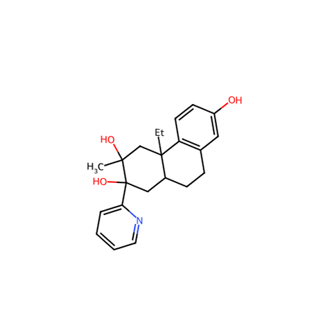 CCC12CC(C)(O)C(O)(c3ccccn3)CC1CCc1cc(O)ccc12